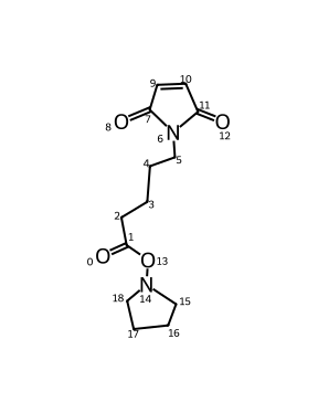 O=C(CCCCN1C(=O)C=CC1=O)ON1CCCC1